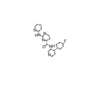 O=C(Nc1cnccc1-c1ccc(F)cc1)c1ccnc(Nc2ccccn2)n1